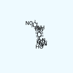 N#Cc1ccc(NS(=O)(=O)c2ccc(-c3cnn4c(O)ncnc34)cc2)cc1